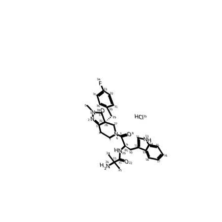 CN1N=C2CCN(C(=O)[C@@H](Cc3c[nH]c4ccccc34)NC(=O)C(C)(C)N)C[C@]2(Cc2ccc(F)cc2)C1=O.Cl